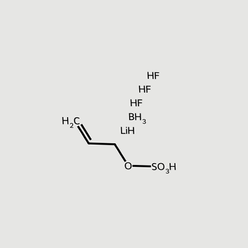 B.C=CCOS(=O)(=O)O.F.F.F.[LiH]